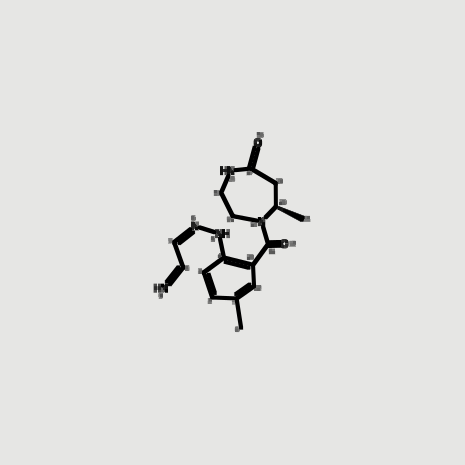 Cc1ccc(N/N=C\C=N)c(C(=O)N2CCNC(=O)C[C@H]2C)c1